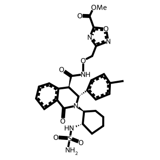 COC(=O)c1nc(CONC(=O)[C@@H]2c3ccccc3C(=O)N([C@H]3CCCC[C@@H]3NS(N)(=O)=O)[C@H]2c2ccc(C)cc2)no1